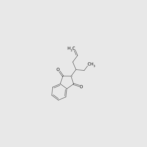 C=CCC(CC)[C]1C(=O)c2ccccc2C1=O